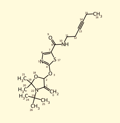 C=C1C(Oc2ncc(C(=O)NCCC#CCC)s2)OC(C)(C)N1C(C)(C)C